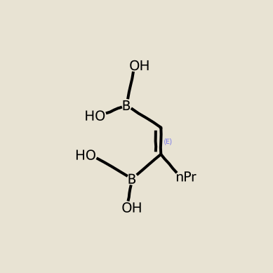 CCC/C(=C/B(O)O)B(O)O